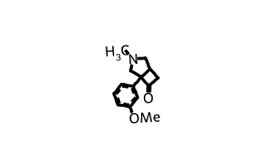 COc1cccc(C23CN(C)CC2CC3=O)c1